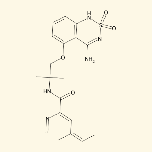 C=N/C(=C\C(C)=C/C)C(=O)NC(C)(C)COc1cccc2c1C(N)=NS(=O)(=O)N2